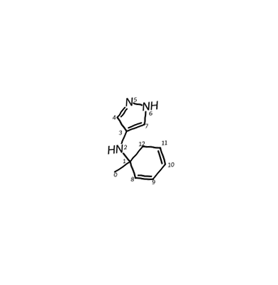 CC1(Nc2cn[nH]c2)C=CC=CC1